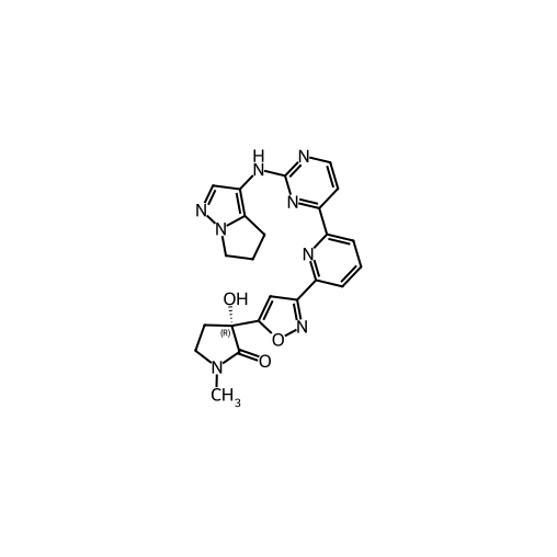 CN1CC[C@@](O)(c2cc(-c3cccc(-c4ccnc(Nc5cnn6c5CCC6)n4)n3)no2)C1=O